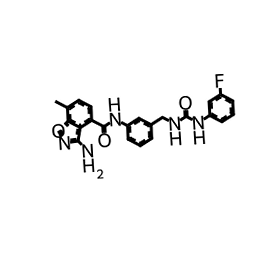 Cc1ccc(C(=O)Nc2cccc(CNC(=O)Nc3cccc(F)c3)c2)c2c(N)noc12